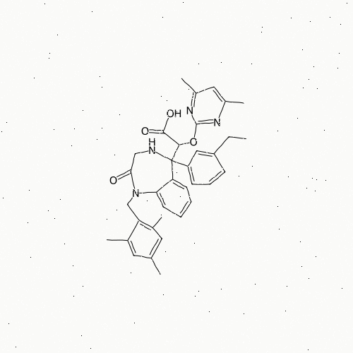 CCc1cccc(C2(C(Oc3nc(C)cc(C)n3)C(=O)O)NCC(=O)N(Cc3c(C)cc(C)cc3C)c3ccccc32)c1